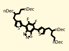 CCCCCCCCCCCCC(CCCCCCCCCC)Cc1csc(-c2c(F)c(F)c(-c3cc(CC(CCCCCCCCCC)CCCCCCCCCCCC)cs3)c3snnc23)c1